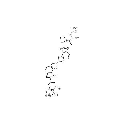 COC(=O)N[C@H](C(=O)N1CCC[C@H]1c1nc2ccc3cc(-c4cc5ccc6nc([C@H](CCCN)C[C@@H](NC(=O)OC)C(C)C)[nH]c6c5s4)sc3c2[nH]1)C(C)C